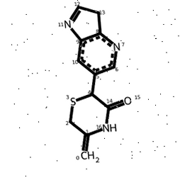 C=C1CSC(c2cnc3c(c2)N=CC3)C(=O)N1